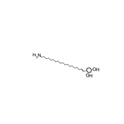 NCCCCCCCCCCCCCCCCCC=Cc1ccc(O)cc1O